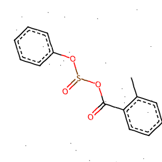 Cc1ccccc1C(=O)OS(=O)Oc1ccccc1